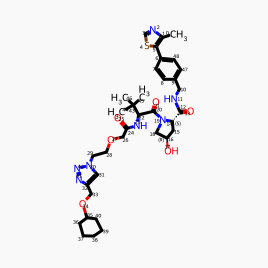 Cc1ncsc1-c1ccc(CNC(=O)[C@@H]2C[C@@H](O)CN2C(=O)C(NC(=O)COCCn2cc(COC3CCCCC3)nn2)C(C)(C)C)cc1